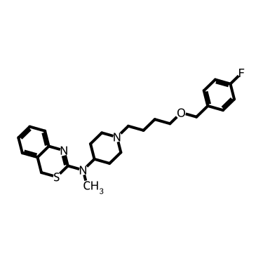 CN(C1=Nc2ccccc2CS1)C1CCN(CCCCOCc2ccc(F)cc2)CC1